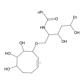 CCCC(=O)NC(COC1/C=C\CCC(O)C(O)C1O)C(O)CC(O)CC